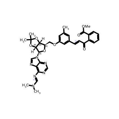 COC(=O)c1ccccc1C(=O)/C=C/c1cc(C)cc(OC[C@H]2O[C@@H](n3cnc4c(/N=C/N(C)C)ncnc43)[C@@H]3OC(C)(C)O[C@@H]32)c1